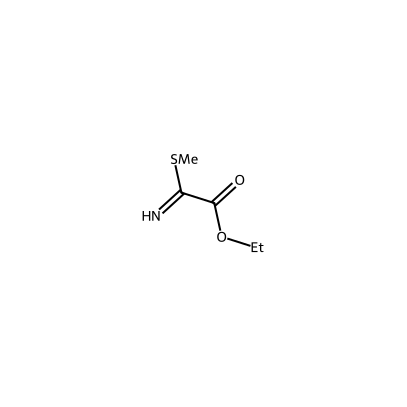 CCOC(=O)C(=N)SC